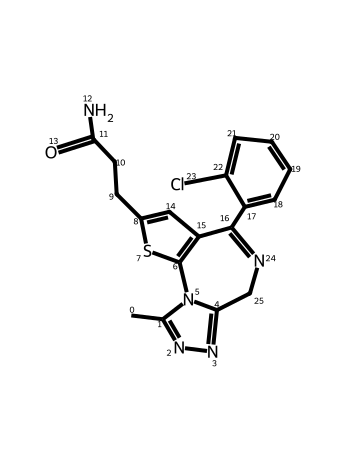 Cc1nnc2n1-c1sc(CCC(N)=O)cc1C(c1ccccc1Cl)=NC2